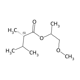 COCC(C)OC(=O)[C@@H](C)C(C)C